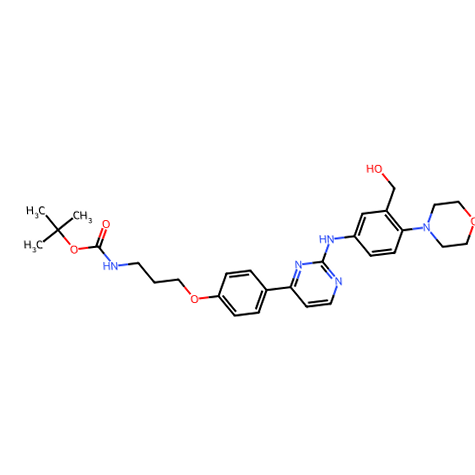 CC(C)(C)OC(=O)NCCCOc1ccc(-c2ccnc(Nc3ccc(N4CCOCC4)c(CO)c3)n2)cc1